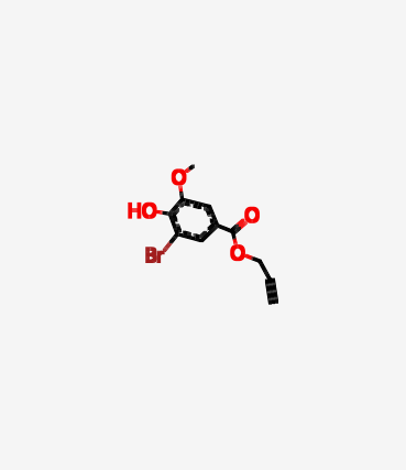 C#CCOC(=O)c1cc(Br)c(O)c(OC)c1